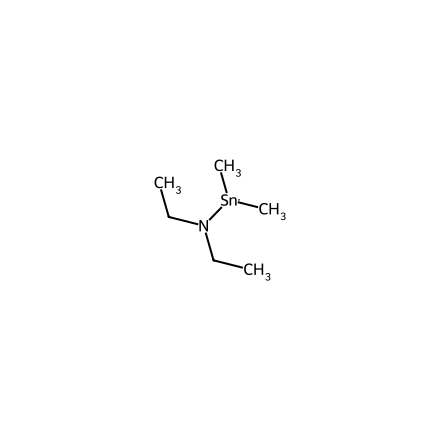 CC[N](CC)[Sn]([CH3])[CH3]